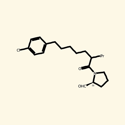 CC(C)C(CCCCCc1ccc(Cl)cc1)C(=O)N1CCC[C@H]1C=O